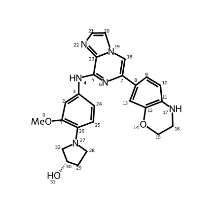 COc1cc(Nc2nc(-c3ccc4c(c3)OCCN4)cn3ccnc23)ccc1N1CC[C@H](O)C1